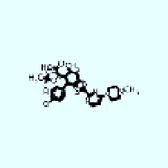 CC1Cc2nc(-c3nccc(N4CCN(C)CC4)n3)sc2C(c2ccc(Cl)cc2)=C1[C@H](OC(C)(C)C)C(=O)O